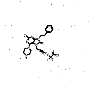 CC#CCn1c(=O)n(CCc2ccccc2)c2nc(Cl)nc(N3CCNCC3)c21.O=C(O)C(F)(F)F